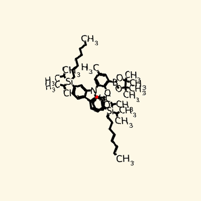 CCCCCCCC[Si](c1ccc2c3ccc([Si](CCCCCCCC)(C(C)C)C(C)C)cc3n(-c3cc(C)cc(B4OC(C)(C)C(C)(C)O4)c3OC3CCCCO3)c2c1)(C(C)C)C(C)C